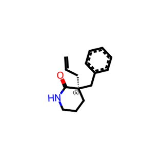 C=CC[C@]1(Cc2ccccc2)CCCNC1=O